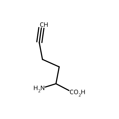 C#CCCC(N)C(=O)O